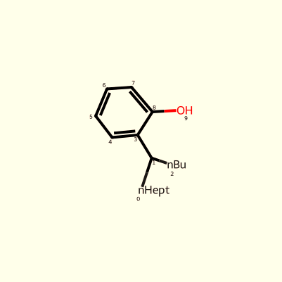 CCCCCCCC(CCCC)c1ccccc1O